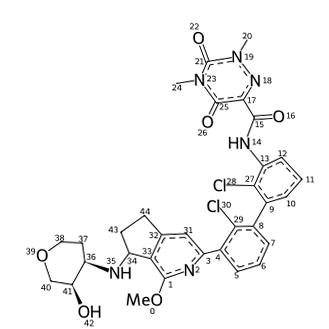 COc1nc(-c2cccc(-c3cccc(NC(=O)c4nn(C)c(=O)n(C)c4=O)c3Cl)c2Cl)cc2c1C(N[C@@H]1CCOC[C@@H]1O)CC2